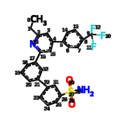 CCc1cc(-c2ccc(C(F)(F)F)cc2)cc(-c2cccc(-c3cccc(S(N)(=O)=O)c3)c2)n1